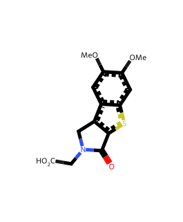 COc1cc2sc3c(c2cc1OC)CN(CC(=O)O)C3=O